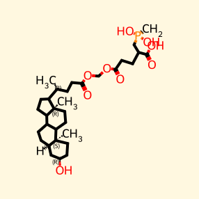 C=P(O)(O)CC(CCC(=O)OCOC(=O)CC[C@@H](C)C1CCC2C3CC[C@@H]4C[C@H](O)CC[C@]4(C)C3CC[C@@]21C)C(=O)O